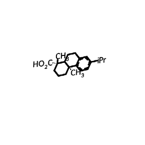 CC(C)c1ccc2c(c1)CCC1[C@@](C)(C(=O)O)CCC[C@]21C